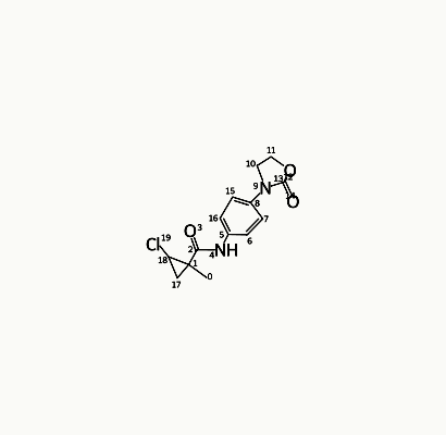 CC1(C(=O)Nc2ccc(N3CCOC3=O)cc2)CC1Cl